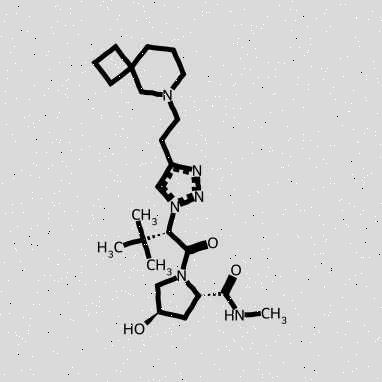 CNC(=O)[C@@H]1C[C@@H](O)CN1C(=O)[C@@H](n1cc(CCN2CCCC3(CCC3)C2)nn1)C(C)(C)C